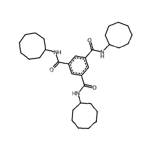 O=C(NC1CCCCCCC1)c1cc(C(=O)NC2CCCCCCC2)cc(C(=O)NC2CCCCCCC2)c1